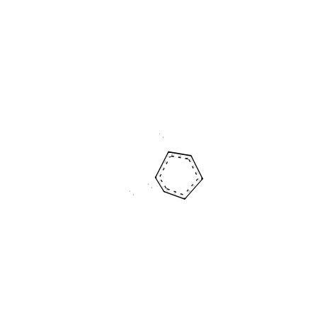 [N].[N].[N].c1ccccc1